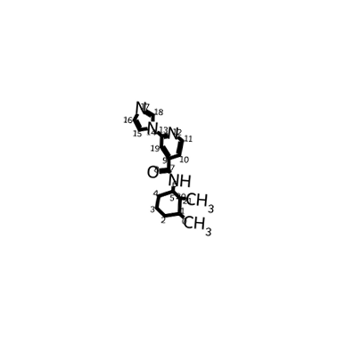 CC1CCCC(NC(=O)c2ccnc(-n3ccnc3)c2)C1C